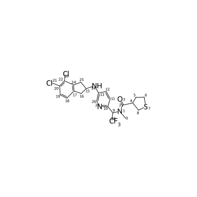 CN(C(=O)C1CCSC1)C(c1ccc(NC2Cc3ccc(Cl)c(Cl)c3C2)cn1)C(F)(F)F